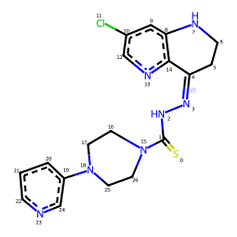 S=C(N/N=C1/CCNc2cc(Cl)cnc21)N1CCN(c2cccnc2)CC1